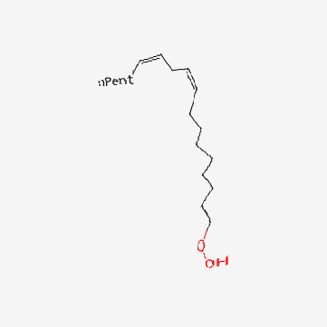 CCCCC/C=C\C/C=C\CCCCCCCCOO